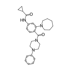 O=C(Nc1ccc(C(=O)N2CCN(c3ccccc3)CC2)c(N2CCCCCC2)c1)C1CC1